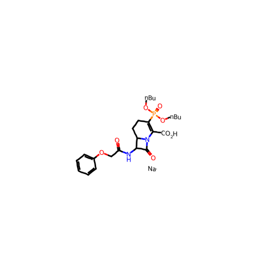 CCCCOP(=O)(OCCCC)C1=C(C(=O)O)N2C(=O)C(NC(=O)COc3ccccc3)C2CC1.[Na]